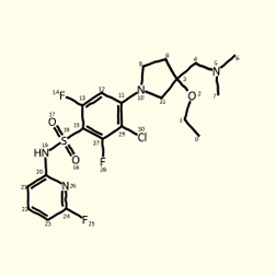 CCOC1(CN(C)C)CCN(c2cc(F)c(S(=O)(=O)Nc3cccc(F)n3)c(F)c2Cl)C1